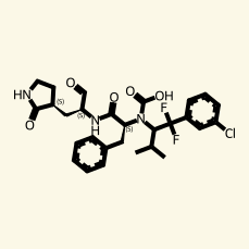 CC(C)C(N(C(=O)O)[C@@H](Cc1ccccc1)C(=O)N[C@H](C=O)C[C@@H]1CCNC1=O)C(F)(F)c1cccc(Cl)c1